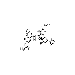 COCC(=O)N[C@@H](Cc1cc(F)cc(-c2nccs2)c1)[C@H](O)CNC1CC2(CCC2)Oc2ncc(CC(C)(F)F)cc21